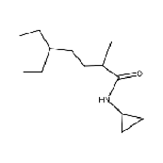 CCC(CC)CCC(C)C(=O)NC1CC1